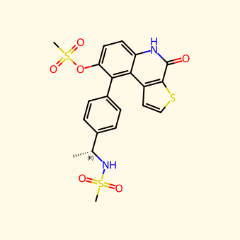 C[C@@H](NS(C)(=O)=O)c1ccc(-c2c(OS(C)(=O)=O)ccc3[nH]c(=O)c4sccc4c23)cc1